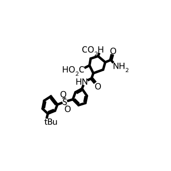 CC(C)(C)c1cccc(S(=O)(=O)c2cccc(NC(=O)C3CC(C(N)=O)C(C(=O)O)CC3C(=O)O)c2)c1